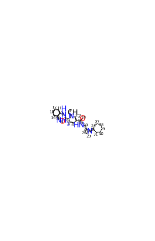 C=N/C=C(\C=C/CC(=O)Nc1ccccc1N)C(=O)NCC1CCN1C1CCCCCC1